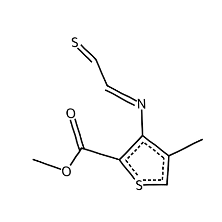 COC(=O)c1scc(C)c1N=CC=S